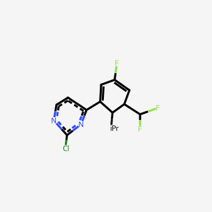 CC(C)C1C(c2ccnc(Cl)n2)=CC(F)=CC1C(F)F